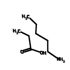 CCC(=O)O.CCCCCN